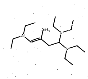 CCN(C=C([SiH3])CC(N(CC)CC)N(CC)CC)CC